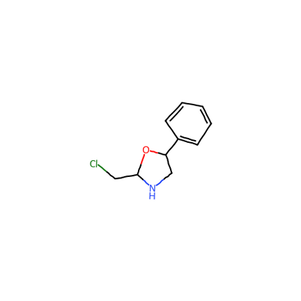 ClCC1NCC(c2ccccc2)O1